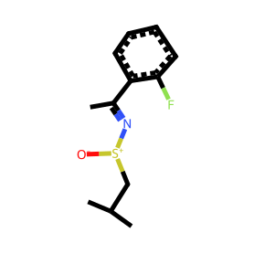 CC(=N[S+]([O-])CC(C)C)c1ccccc1F